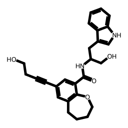 O=C(NC(CO)Cc1c[nH]c2ccccc12)c1cc(C#CCCO)cc2c1OCCCC2